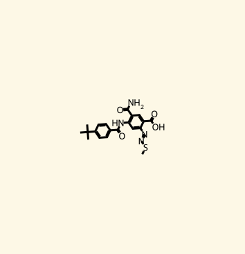 CS/N=N/c1cc(NC(=O)c2ccc(C(C)(C)C)cc2)c(C(N)=O)cc1C(=O)O